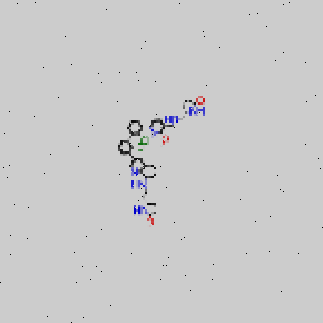 COc1nc(-c2cccc(-c3cccc(-c4cnc5c(c4)CCCC5NCC[C@@H]4CCC(=O)N4)c3Cl)c2Cl)ccc1CNC[C@@H]1CCC(=O)N1